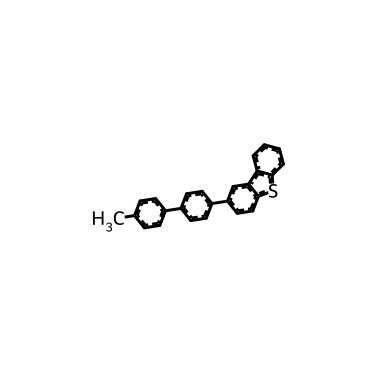 Cc1ccc(-c2ccc(-c3ccc4sc5ccccc5c4c3)cc2)cc1